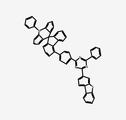 c1ccc(-c2nc(-c3ccc(-c4cccc5c4-c4ccccc4C54c5ccccc5N(c5ccccc5)c5ccccc54)cc3)nc(-c3ccc4c(c3)sc3ccccc34)n2)cc1